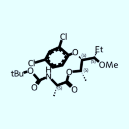 CC[C@H](OC)[C@@H](Oc1ccc(Cl)cc1Cl)[C@H](C)OC(=O)[C@H](C)NC(=O)OC(C)(C)C